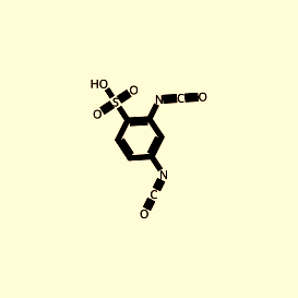 O=C=Nc1ccc(S(=O)(=O)O)c(N=C=O)c1